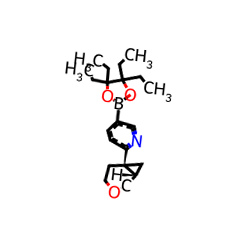 CCC1(CC)OB(c2ccc([C@]34CCOC[C@H]3C4)nc2)OC1(CC)CC